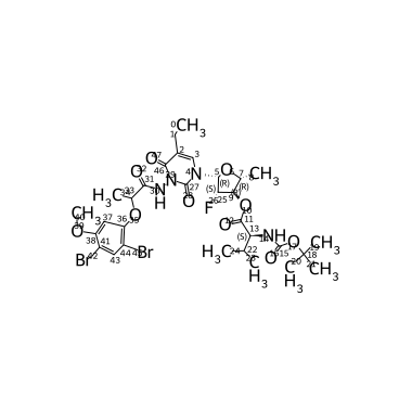 CCc1cn([C@@H]2O[C@H](C)[C@@H](OC(=O)[C@@H](NC(=O)OC(C)(C)C)C(C)C)[C@@H]2F)c(=O)n(NC(=O)C(C)Oc2cc(OC)c(Br)cc2Br)c1=O